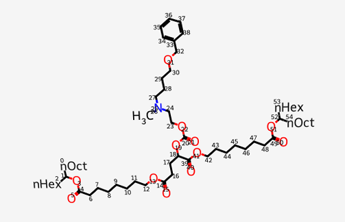 CCCCCCCCC(CCCCCC)OC(=O)CCCCCCCOC(=O)CCC(OC(=O)OCCN(C)CCCCOCc1ccccc1)C(=O)OCCCCCCCC(=O)OC(CCCCCC)CCCCCCCC